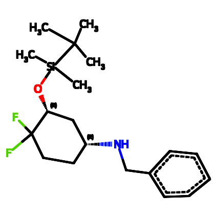 CC(C)(C)[Si](C)(C)O[C@@H]1C[C@H](NCc2ccccc2)CCC1(F)F